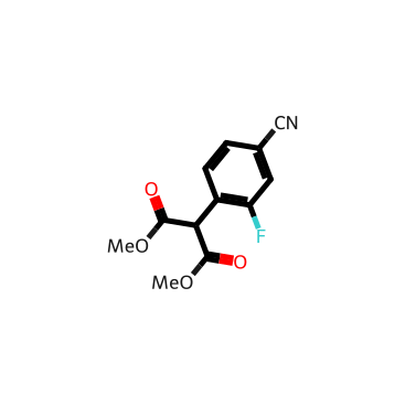 COC(=O)C(C(=O)OC)c1ccc(C#N)cc1F